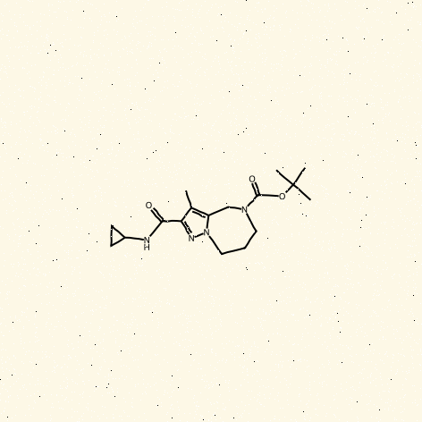 Cc1c(C(=O)NC2CC2)nn2c1CN(C(=O)OC(C)(C)C)CCC2